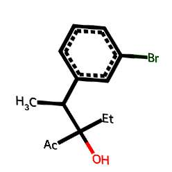 CCC(O)(C(C)=O)C(C)c1cccc(Br)c1